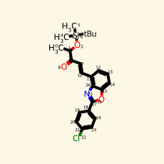 CC(O[Si](C)(C)C(C)(C)C)C(=O)C=Cc1cccc2oc(-c3ccc(Cl)cc3)nc12